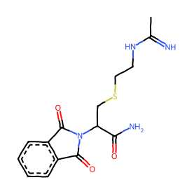 CC(=N)NCCSCC(C(N)=O)N1C(=O)c2ccccc2C1=O